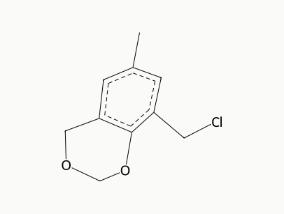 Cc1cc(CCl)c2c(c1)COCO2